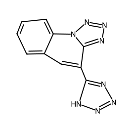 c1ccc2c(c1)cc(-c1nnn[nH]1)c1nnnn12